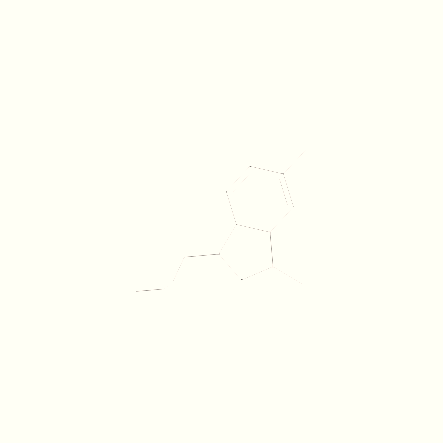 CSCC1CC(C)C2C=C(C)C=CC12